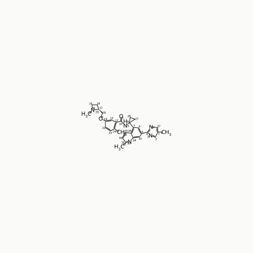 Cc1cnc(-c2cc(C3(NC(=O)c4cc(OC[C@@H]5CCN5C)ccc4C)CC3)c3ccc(C)nc3c2)nc1